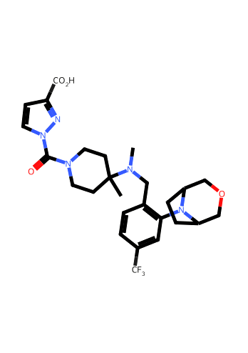 CN(Cc1ccc(C(F)(F)F)cc1N1C2CCC1COC2)C1(C)CCN(C(=O)n2ccc(C(=O)O)n2)CC1